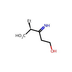 CC[C@@H](C(=N)CCO)C(=O)O